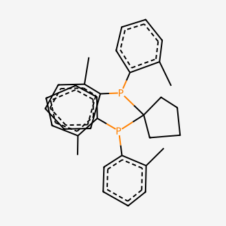 Cc1ccccc1P(c1ccccc1C)C1(P(c2ccccc2C)c2ccccc2C)CCCC1